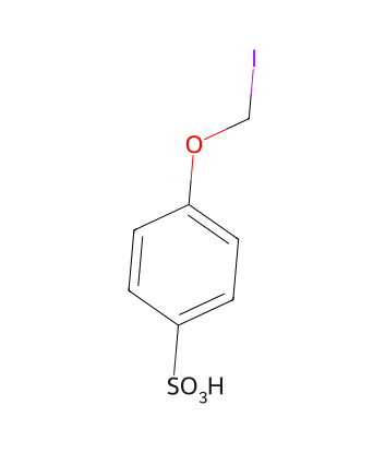 O=S(=O)(O)c1ccc(OCI)cc1